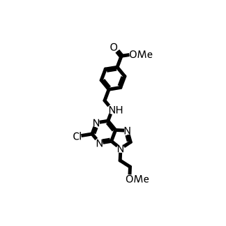 COCCn1cnc2c(NCc3ccc(C(=O)OC)cc3)nc(Cl)nc21